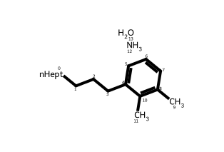 CCCCCCCCCCc1cccc(C)c1C.N.O